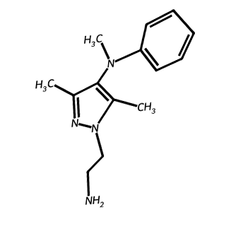 Cc1nn(CCN)c(C)c1N(C)c1ccccc1